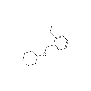 CCc1ccccc1COC1CCCCC1